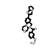 COc1cccc(C(=O)NCc2cc(-c3cn4c(n3)CCC4)ccc2N2CCOCC2)c1